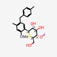 COc1cc(C)c(Cc2ccc(C)cc2)cc1[C@@H]1S[C@H](CO)[C@@H](OI)[C@H](O)[C@H]1O